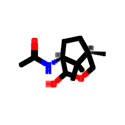 CC(=O)N[C@@]12CC[C@@](C)(COC1O)C2(C)C